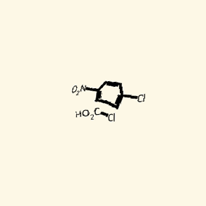 O=C(O)Cl.O=[N+]([O-])c1ccc(Cl)cc1